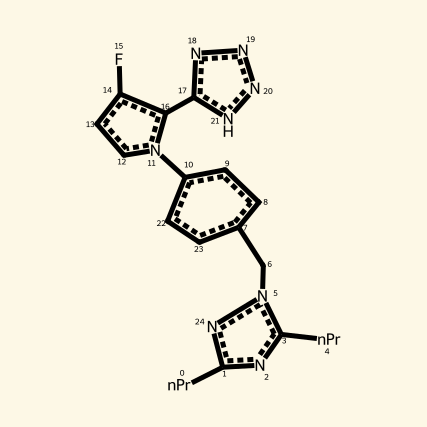 CCCc1nc(CCC)n(Cc2ccc(-n3ccc(F)c3-c3nnn[nH]3)cc2)n1